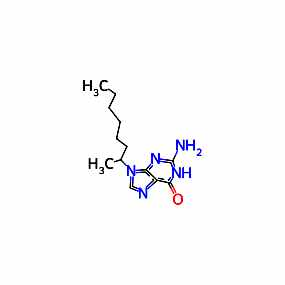 CCCCCCC(C)n1cnc2c(=O)[nH]c(N)nc21